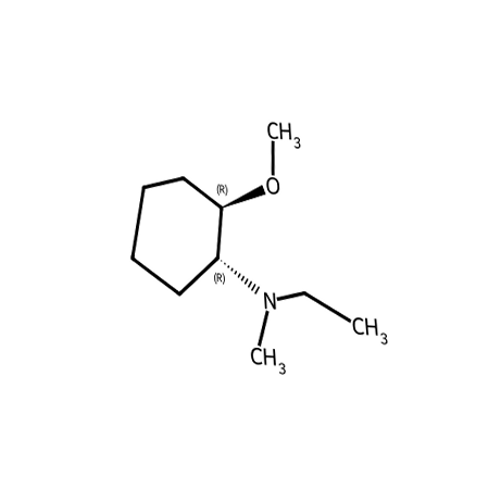 CCN(C)[C@@H]1CCCC[C@H]1OC